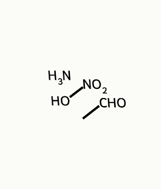 CC=O.N.O=[N+]([O-])O